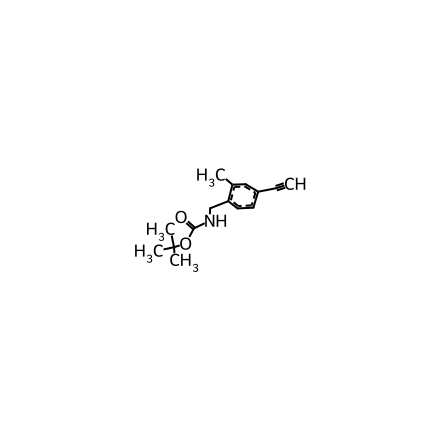 C#Cc1ccc(CNC(=O)OC(C)(C)C)c(C)c1